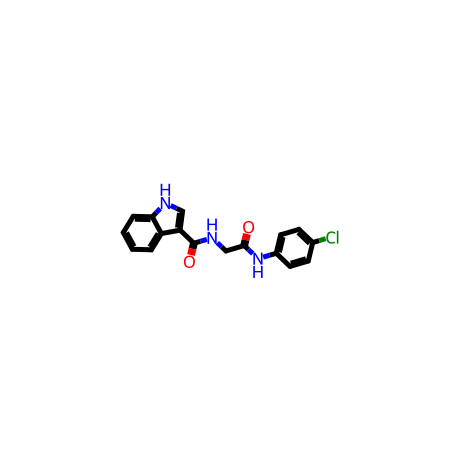 O=C(CNC(=O)c1c[nH]c2ccccc12)Nc1ccc(Cl)cc1